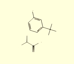 CC(S)C(=O)O.FC(F)(F)c1cccc(S)c1